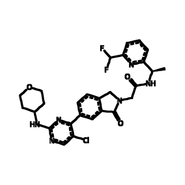 C[C@@H](NC(=O)CN1Cc2ccc(-c3nc(NC4CCOCC4)ncc3Cl)cc2C1=O)c1cccc(C(F)F)n1